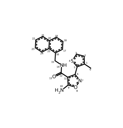 Cc1ccsc1-c1noc(N)c1C(=O)NCc1cccc2ccccc12